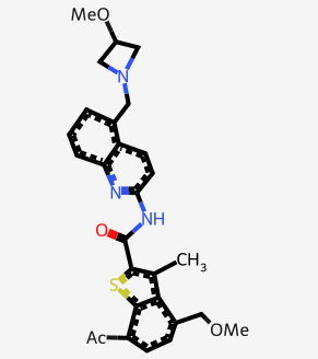 COCc1ccc(C(C)=O)c2sc(C(=O)Nc3ccc4c(CN5CC(OC)C5)cccc4n3)c(C)c12